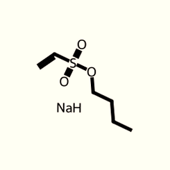 C=CS(=O)(=O)OCCCC.[NaH]